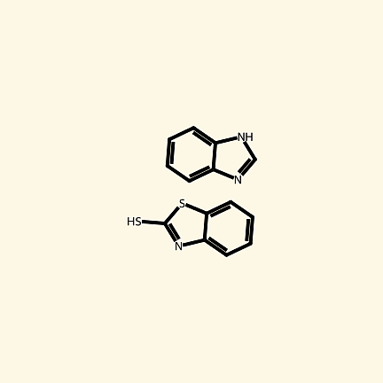 Sc1nc2ccccc2s1.c1ccc2[nH]cnc2c1